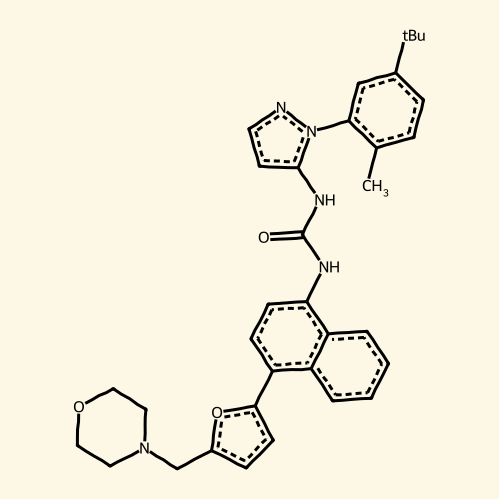 Cc1ccc(C(C)(C)C)cc1-n1nccc1NC(=O)Nc1ccc(-c2ccc(CN3CCOCC3)o2)c2ccccc12